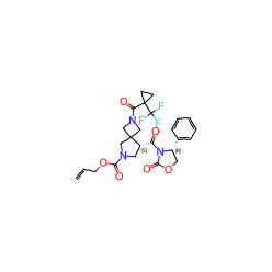 C=CCOC(=O)N1C[C@@H](C(=O)N2C(=O)OC[C@H]2c2ccccc2)C2(C1)CN(C(=O)C1(C(F)(F)F)CC1)C2